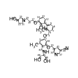 Cc1cc(OCc2cccc(-c3cccc(OCCCN4CC[C@@H](O)C4)c3C)c2C)cc(OCc2cncc(C#N)c2)c1CNC(CO)CO